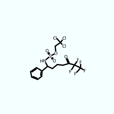 O=C(CCCC(NS(=O)(=O)OCC(Cl)(Cl)Cl)c1ccccc1)C(F)(F)C(F)(F)F